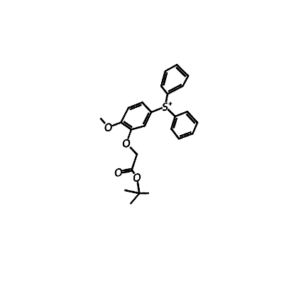 COc1ccc([S+](c2ccccc2)c2ccccc2)cc1OCC(=O)OC(C)(C)C